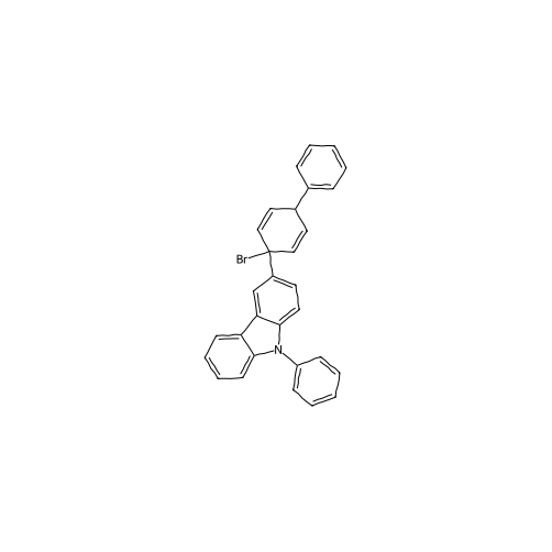 BrC1(c2ccc3c(c2)c2ccccc2n3-c2ccccc2)C=CC(c2ccccc2)C=C1